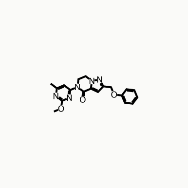 COc1nc(C)cc(N2CCn3nc(COc4ccccc4)cc3C2=O)n1